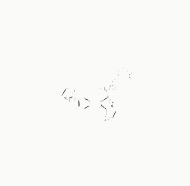 Cn1ccc2nc(C(=O)NCC3CCOCC3)cc(Cc3ccc(-c4nccs4)cc3)c21